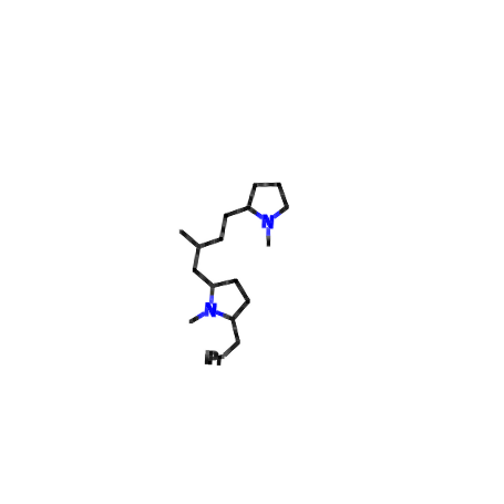 CC(C)CC1CCC(CC(C)CCC2CCCN2C)N1C